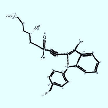 CC(C)c1c(C#CP(=O)(O)C[C@@H](O)CCC(=O)O)n(-c2ccc(F)cc2)c2ccccc12